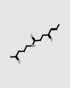 C/C=C/C(=O)CCC(=O)NCCCC(C)=O